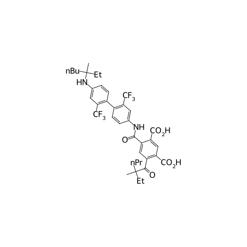 CCCCC(C)(CC)Nc1ccc(-c2ccc(NC(=O)c3cc(C(=O)C(C)(CC)CCC)c(C(=O)O)cc3C(=O)O)cc2C(F)(F)F)c(C(F)(F)F)c1